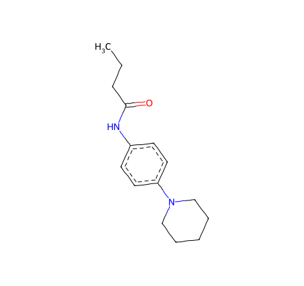 CCCC(=O)Nc1ccc(N2CCCCC2)cc1